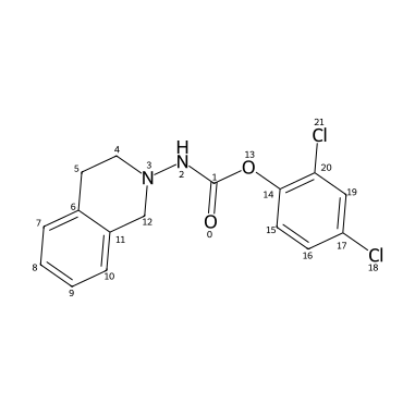 O=C(NN1CCc2ccccc2C1)Oc1ccc(Cl)cc1Cl